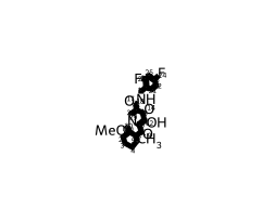 CO[C@]12CCCC[C@@]1(C)C(=O)c1c(O)c(=O)c(C(=O)NCc3ccc(F)cc3F)cn1C2